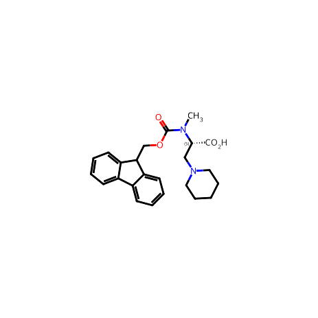 CN(C(=O)OCC1c2ccccc2-c2ccccc21)[C@@H](CN1CCCCC1)C(=O)O